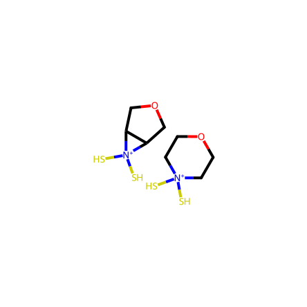 S[N+]1(S)C2COCC21.S[N+]1(S)CCOCC1